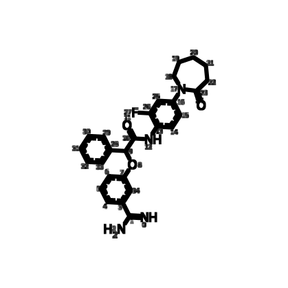 N=C(N)c1cccc(OC(C(=O)Nc2ccc(N3CCCCCC3=O)cc2F)c2ccccc2)c1